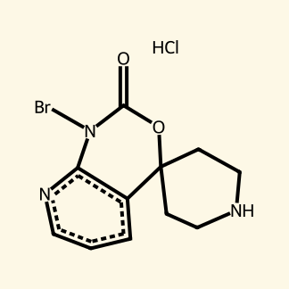 Cl.O=C1OC2(CCNCC2)c2cccnc2N1Br